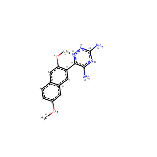 COc1ccc2cc(OC)c(-c3nnc(N)nc3N)cc2c1